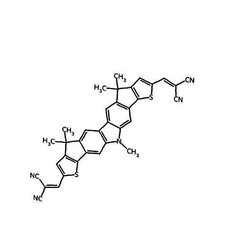 Cn1c2cc3c(cc2c2cc4c(cc21)-c1sc(C=C(C#N)C#N)cc1C4(C)C)C(C)(C)c1cc(C=C(C#N)C#N)sc1-3